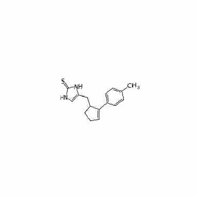 Cc1ccc(C2=CCCC2Cc2c[nH]c(=S)[nH]2)cc1